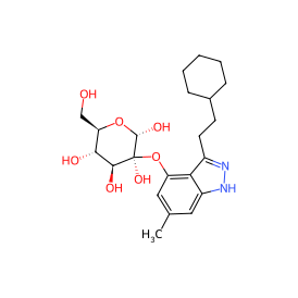 Cc1cc(O[C@]2(O)[C@@H](O)O[C@H](CO)[C@@H](O)[C@@H]2O)c2c(CCC3CCCCC3)n[nH]c2c1